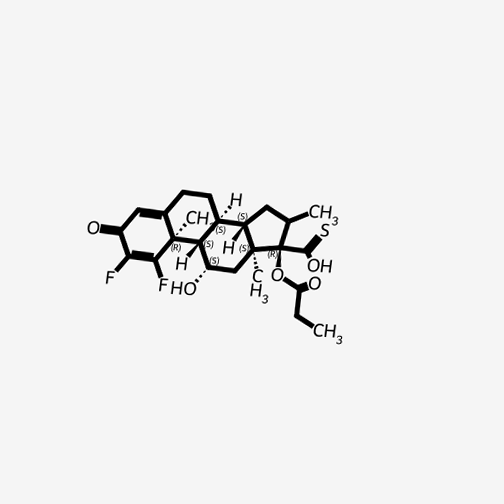 CCC(=O)O[C@]1(C(O)=S)C(C)C[C@H]2[C@@H]3CCC4=CC(=O)C(F)=C(F)[C@]4(C)[C@H]3[C@@H](O)C[C@@]21C